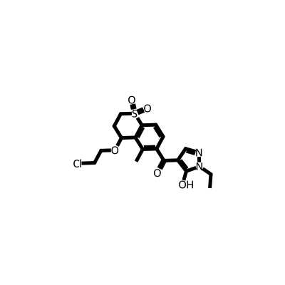 CCn1ncc(C(=O)c2ccc3c(c2C)C(OCCCl)CCS3(=O)=O)c1O